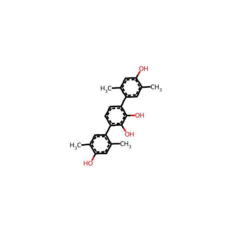 Cc1cc(-c2[c]cc(-c3cc(C)c(O)cc3C)c(O)c2O)c(C)cc1O